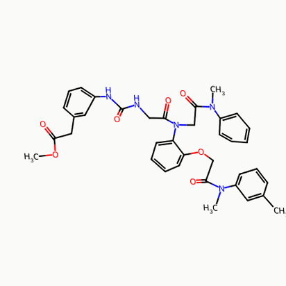 COC(=O)Cc1cccc(NC(=O)NCC(=O)N(CC(=O)N(C)c2ccccc2)c2ccccc2OCC(=O)N(C)c2cccc(C)c2)c1